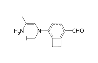 C/C(N)=C/N(CI)c1ccc(C=O)c2c1CC2